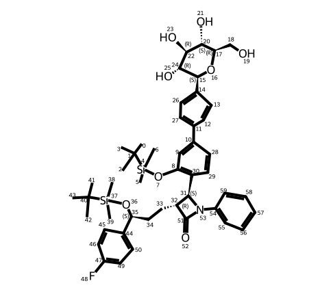 CC(C)(C)[Si](C)(C)Oc1cc(-c2ccc([C@@H]3O[C@H](CO)[C@@H](O)[C@H](O)[C@H]3O)cc2)ccc1[C@@H]1[C@@H](CC[C@H](O[Si](C)(C)C(C)(C)C)c2ccc(F)cc2)C(=O)N1c1ccccc1